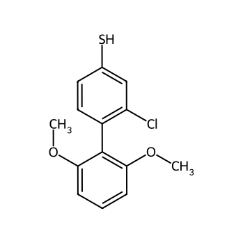 COc1cccc(OC)c1-c1ccc(S)cc1Cl